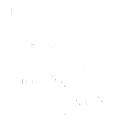 Cc1cc(C(=O)NCc2ccccn2)nn1Cc1cc(Cl)ccc1OCc1ccc(F)cc1F